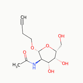 C#CCCO[C@@H]1O[C@H](CO)[C@H](O)[C@H](O)[C@H]1NC(C)=O